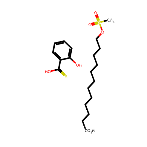 CS(=O)(=O)OCCCCCCCCCCCC(=O)O.OC(=S)c1ccccc1O